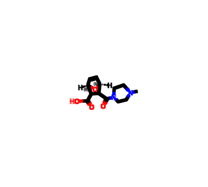 CN1CCN(C(=O)C2C(C(=O)O)[C@H]3C=C[C@@H]2O3)CC1